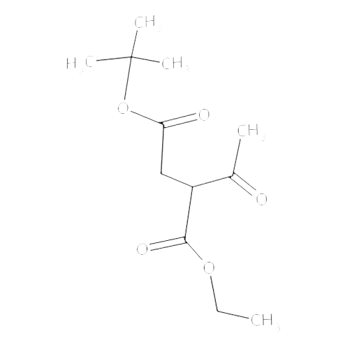 CCOC(=O)C(CC(=O)OC(C)(C)C)C(C)=O